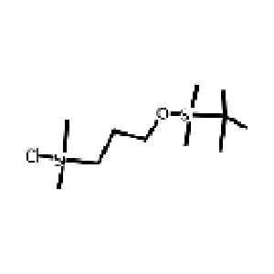 CC(C)(C)[Si](C)(C)OCCC[Si](C)(C)Cl